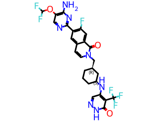 Nc1nc(-c2cc3ccn(C[C@@H]4CCC[C@H](Nc5cn[nH]c(=O)c5C(F)(F)F)C4)c(=O)c3cc2F)ncc1OC(F)F